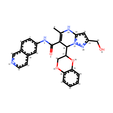 CC1=C(C(=O)Nc2ccc3cnccc3c2)C(C2COc3ccccc3O2)n2nc(CO)cc2N1